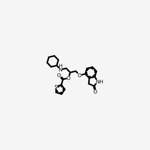 O=C1Cc2c(cccc2OCC(CNC2CCCCC2)OC(=O)c2cccs2)N1